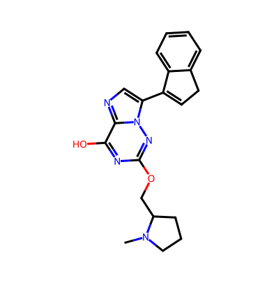 CN1CCCC1COc1nc(O)c2ncc(C3=CCc4ccccc43)n2n1